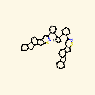 c1ccc2c(c1)Cc1c-2ccc2c3cc(-c4ccccc4-c4cc[se]c4-c4ccccc4-c4cc5c6ccc7c(c6cc-5sn4)Cc4ccccc4-7)nsc-3cc12